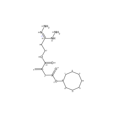 C=C(CC(=O)OC1CCCCCCC1)C(=O)OCC/C(=N/N)NN